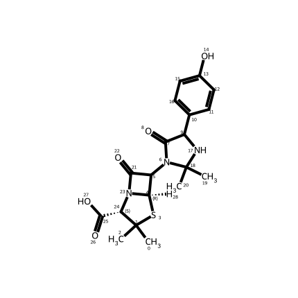 CC1(C)S[C@@H]2C(N3C(=O)C(c4ccc(O)cc4)NC3(C)C)C(=O)N2[C@H]1C(=O)O